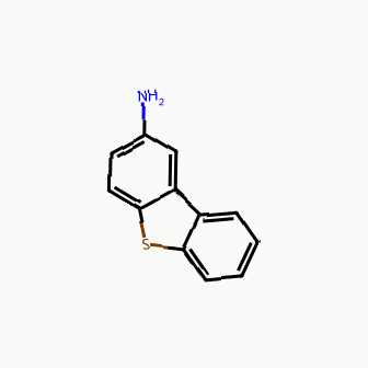 Nc1ccc2sc3ccccc3c2c1